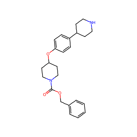 O=C(OCc1ccccc1)N1CCC(Oc2ccc(C3CCNCC3)cc2)CC1